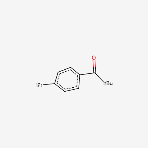 [CH2]CCCC(=O)c1ccc(C(C)C)cc1